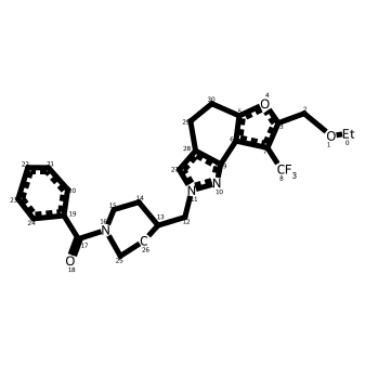 CCOCc1oc2c(c1C(F)(F)F)-c1nn(CC3CCN(C(=O)c4ccccc4)CC3)cc1CC2